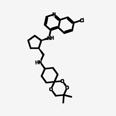 CC1(C)COC2(CCC(NC[C@H]3CCC[C@H]3Nc3ccnc4cc(Cl)ccc34)CC2)OO1